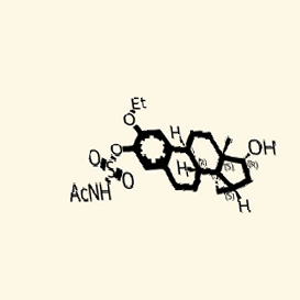 CCOc1cc2c(cc1OS(=O)(=O)NC(C)=O)CC[C@@H]1[C@@H]2CC[C@]2(C)[C@H](O)C[C@@H]3C[C@]312